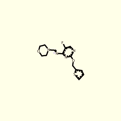 Fc1cnc(OCc2cccs2)nc1/N=C/N1CCOCC1